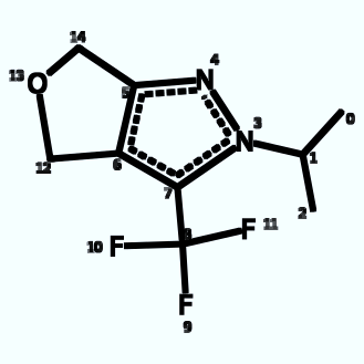 CC(C)n1nc2c(c1C(F)(F)F)COC2